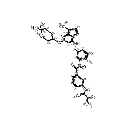 C=C(F)C(=O)Nc1cccc(C(=O)Nc2cccc(CNc3cc(OC4CCC(C)(C)NC4)nc4c(C(C)C)cnn34)c2)c1